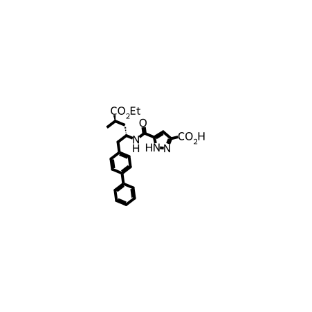 CCOC(=O)[C@H](C)C[C@@H](Cc1ccc(-c2ccccc2)cc1)NC(=O)c1cc(C(=O)O)n[nH]1